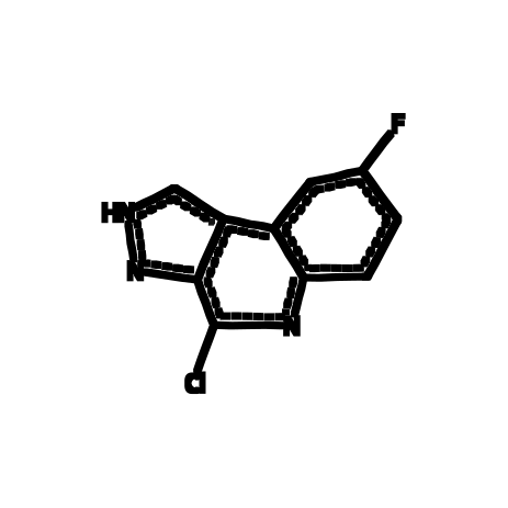 Fc1ccc2nc(Cl)c3n[nH]cc3c2c1